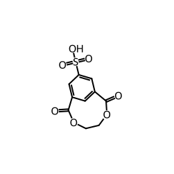 O=C1OCCOC(=O)c2cc1cc(S(=O)(=O)O)c2